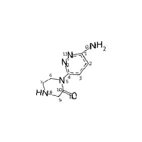 Nc1ccc(N2CCNCC2=O)nn1